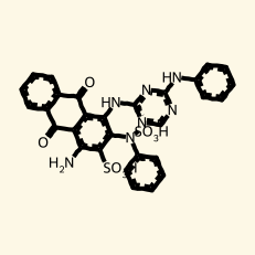 Nc1c2c(c(Nc3ncnc(Nc4ccccc4)n3)c(N(c3ccccc3)S(=O)(=O)O)c1S(=O)(=O)O)C(=O)c1ccccc1C2=O